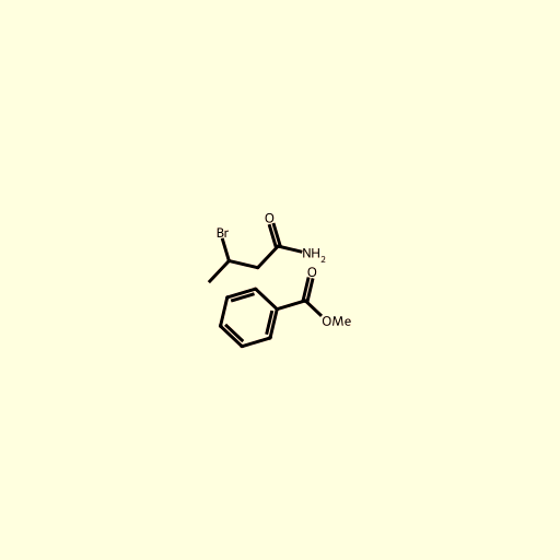 CC(Br)CC(N)=O.COC(=O)c1ccccc1